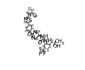 CC(O)Cc1ccc(C(F)(F)F)cc1NC(=O)Nc1cnc(Oc2ccc(-c3cnc(N4CCCC4=O)s3)cc2)nc1